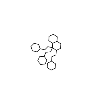 C1CCC(CCC2CCC3CCCCC3C2(CCC2CCCCC2)CCC2CCCCC2)CC1